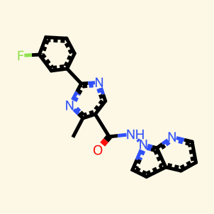 Cc1nc(-c2cccc(F)c2)ncc1C(=O)Nn1ccc2cccnc21